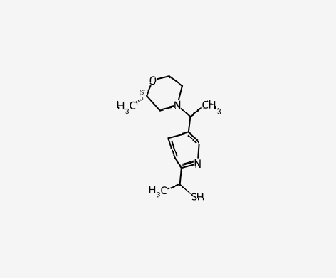 CC(S)c1ccc(C(C)N2CCO[C@@H](C)C2)cn1